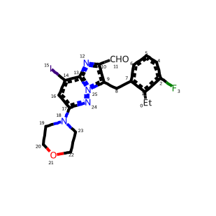 CCc1c(F)cccc1Cc1c(C=O)nc2c(I)cc(N3CCOCC3)nn12